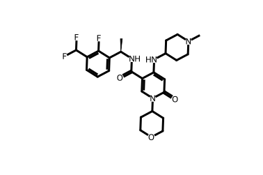 C[C@@H](NC(=O)c1cn(C2CCOCC2)c(=O)cc1NC1CCN(C)CC1)c1cccc(C(F)F)c1F